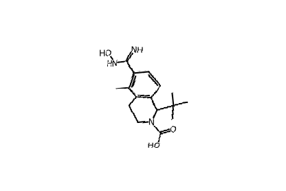 Cc1c(C(=N)NO)ccc2c1CCN(C(=O)O)C2C(C)(C)C